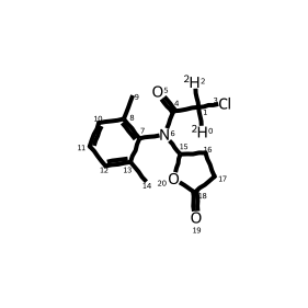 [2H]C([2H])(Cl)C(=O)N(c1c(C)cccc1C)C1CCC(=O)O1